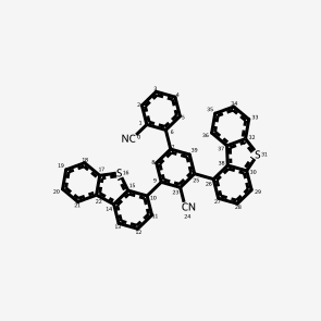 N#Cc1ccccc1-c1cc(-c2cccc3c2sc2ccccc23)c(C#N)c(-c2cccc3sc4ccccc4c23)c1